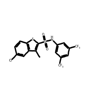 Cc1c(S(=O)(=O)Nc2cc(C(F)(F)F)cc(C(F)(F)F)c2)sc2ccc(Cl)cc12